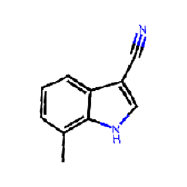 Cc1cccc2c(C#N)c[nH]c12